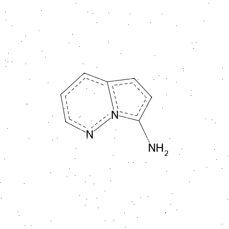 Nc1ccc2cccnn12